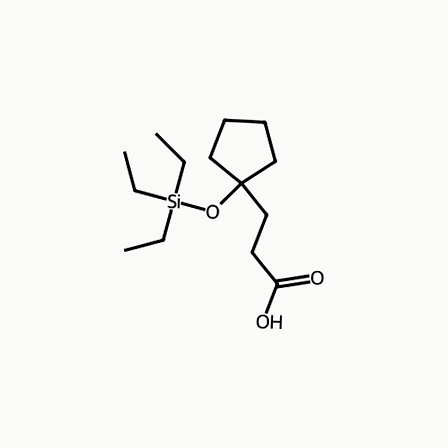 CC[Si](CC)(CC)OC1(CCC(=O)O)CCCC1